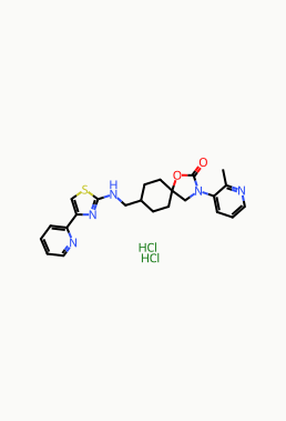 Cc1ncccc1N1CC2(CCC(CNc3nc(-c4ccccn4)cs3)CC2)OC1=O.Cl.Cl